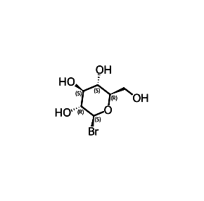 OC[C@H]1O[C@@H](Br)[C@H](O)[C@@H](O)[C@@H]1O